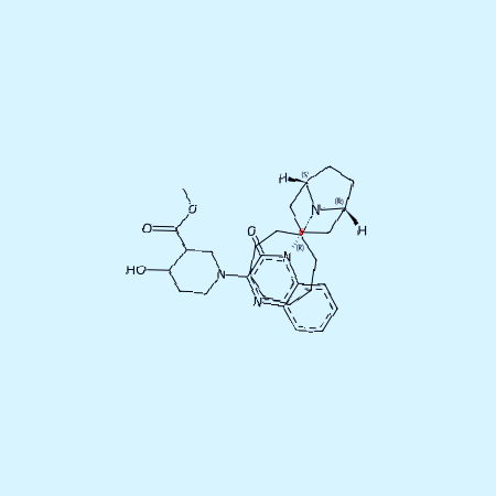 COC(=O)C1CN(c2nc3ccccc3n([C@H]3C[C@H]4CC[C@@H](C3)N4C3CCCCCCC3)c2=O)CCC1O